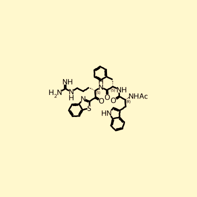 CC(=O)N[C@H](Cc1c[nH]c2ccccc12)C(=O)N[C@@H](Cc1ccccc1)C(=O)N[C@@H](CCCNC(=N)N)C(=O)c1nc2ccccc2s1